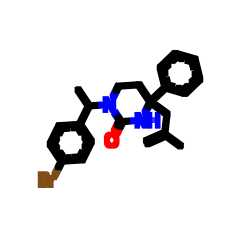 C=C(C)CC1(c2ccccc2)CCN(C(C)c2ccc(Br)cc2)C(=O)N1